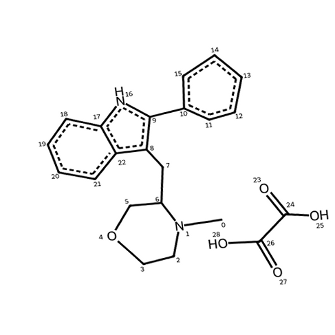 CN1CCOCC1Cc1c(-c2ccccc2)[nH]c2ccccc12.O=C(O)C(=O)O